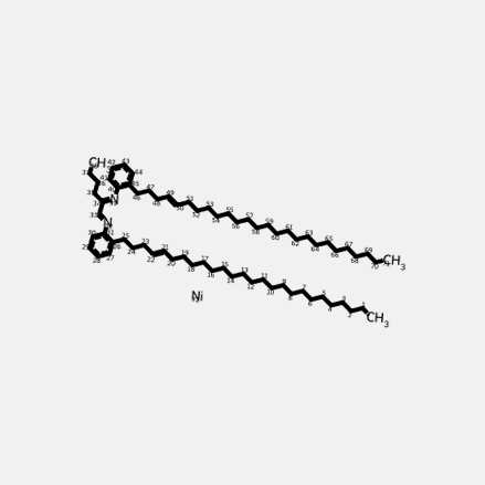 CCCCCCCCCCCCCCCCCCCCCC=CCCCc1ccccc1N=CC(CCCC)=Nc1ccccc1CCCC=CCCCCCCCCCCCCCCCCCCCCC.[Ni]